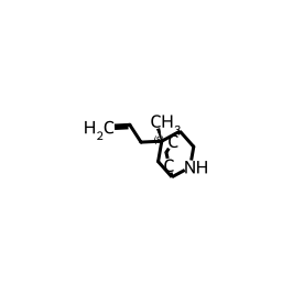 C=CC[C@@]1(C)CC2CCCC1CN2